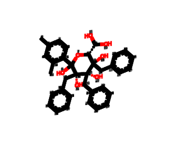 Cc1ccc(C2(O)O[C@H](C(O)O)[C@](O)(Cc3ccccc3)[C@@](O)(Cc3ccccc3)[C@@]2(O)Cc2ccccc2)c(C)c1